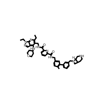 CCc1nc2c(cnn2CC)c(NC2CCOCC2)c1CNC(=O)c1cccc(C(=O)NCc2ccc(C)c(-c3cccc(CN4CC5CCNC[C@H]54)c3)c2)n1